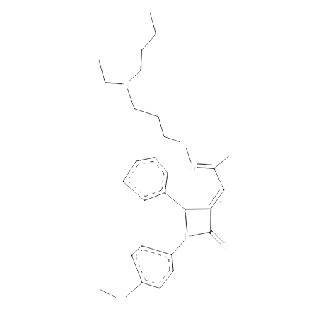 CCCCN(CC)CCCON=C(C)/C=C1/C(=O)N(c2ccc(OC)cc2)C1c1ccccc1